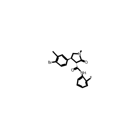 Cc1cc([C@H]2CN(C)C(=O)[C@@H]2C(=O)Nc2ccccc2F)ccc1Br